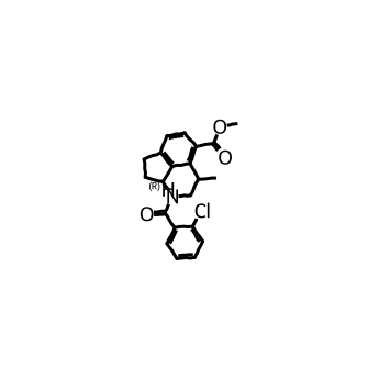 COC(=O)c1ccc2c3c1C(C)CN(C(=O)c1ccccc1Cl)[C@@H]3CC2